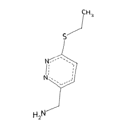 CCSc1ccc(CN)nn1